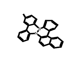 Cc1ccc2c(c1)-c1ccccc1N1B2c2ccccc2-c2c1ccc1ccccc21